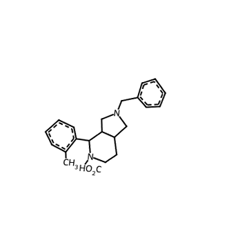 Cc1ccccc1C1C2CN(Cc3ccccc3)CC2CCN1C(=O)O